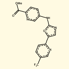 COC(=O)c1ccc(Nc2ncc(-c3ccc(C(F)(F)F)cn3)o2)cn1